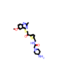 COc1ccc2nc(C)nc(SCC(=O)c3ccc(CNC(=O)CN4CCC(N)CC4)s3)c2c1